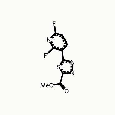 COC(=O)c1nnc(-c2ccc(F)nc2F)s1